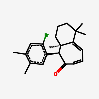 Cc1cc(Br)c([C@@H]2C(=O)C=CC=C3C(C)(C)CCC[C@@]32C)cc1C